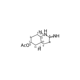 CC(=O)OC1CC[C@H]2NC(=N)CC[C@H]2C1